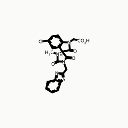 CN1C(=O)N(Cc2nc3ccccc3s2)C(=O)[C@@]12C(=O)N(CC(=O)O)c1ccc(Cl)cc12